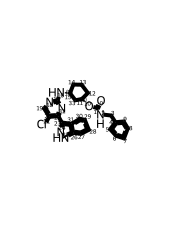 O=C(NCc1ccccc1)O[C@H]1CCC[C@@H](Nc2ncc(Cl)c(-c3n[nH]c4ccccc34)n2)C1